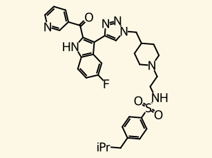 CC(C)Cc1ccc(S(=O)(=O)NCCN2CCC(Cn3cc(-c4c(C(=O)c5cccnc5)[nH]c5ccc(F)cc45)nn3)CC2)cc1